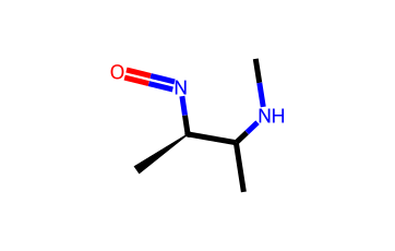 CNC(C)[C@@H](C)N=O